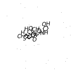 CC(C)(O)c1nn(CC(=O)N[C@@H]2CCC[C@H](O)C2)c(=O)c2cc3sc(Cl)cc3n12